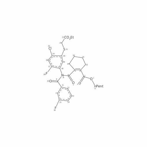 CCCCCOC(=O)C1=C(C(=O)N(C(=O)c2cccc(F)c2)c2cc(SCC(=O)OCC)c(Cl)cc2F)CCCC1